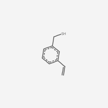 C=Cc1cccc(CS)c1